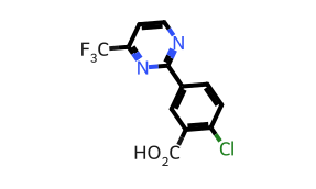 O=C(O)c1cc(-c2nccc(C(F)(F)F)n2)ccc1Cl